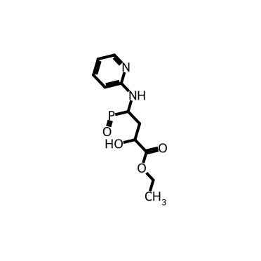 CCOC(=O)C(O)CC(Nc1ccccn1)P=O